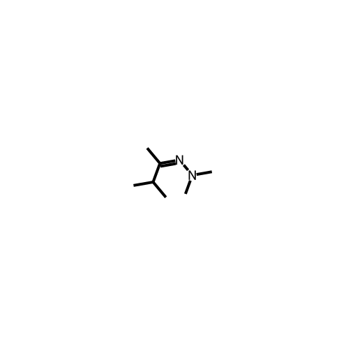 CC(=NN(C)C)C(C)C